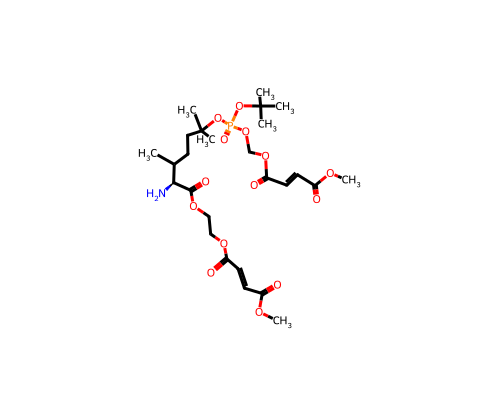 COC(=O)/C=C/C(=O)OCCOC(=O)[C@@H](N)C(C)CCC(C)(C)OP(=O)(OCOC(=O)/C=C/C(=O)OC)OC(C)(C)C